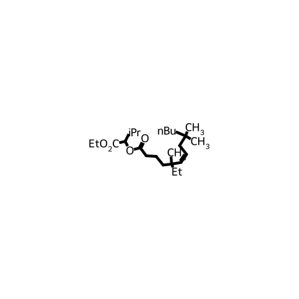 CCCCC(C)(C)C/C=C\C(C)(CC)CCCC(=O)OC(C(=O)OCC)C(C)C